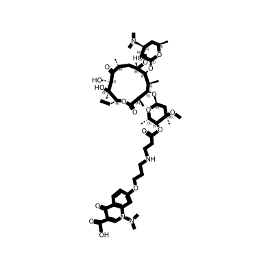 CC[C@H]1OC(=O)[C@H](C)[C@@H](O[C@H]2C[C@@](C)(OC)[C@@H](OC(=O)CCNCCCOc3ccc4c(=O)c(C(=O)O)cn(N(C)C)c4c3)[C@H](C)O2)[C@H](C)[C@@H](O[C@@H]2O[C@H](C)C[C@H](N(C)C)[C@H]2O)[C@](C)(OC)C[C@@H](C)C(=O)[C@@H](O)[C@]1(C)O